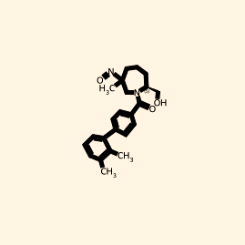 Cc1cccc(-c2ccc(C(=O)N3CC(C)(N=O)CCC[C@H]3CO)cc2)c1C